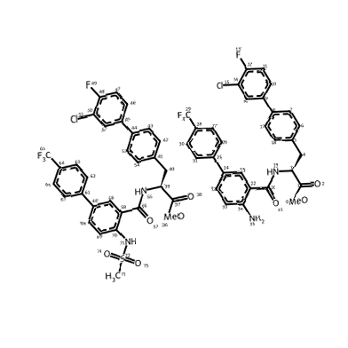 COC(=O)[C@H](Cc1ccc(-c2ccc(F)c(Cl)c2)cc1)NC(=O)c1cc(-c2ccc(C(F)(F)F)cc2)ccc1N.COC(=O)[C@H](Cc1ccc(-c2ccc(F)c(Cl)c2)cc1)NC(=O)c1cc(-c2ccc(C(F)(F)F)cc2)ccc1NS(C)(=O)=O